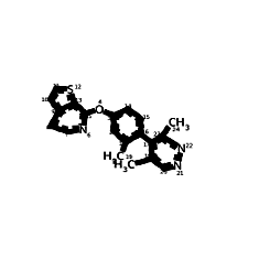 Cc1cc(Oc2nccc3ccsc23)ccc1-c1c(C)cnnc1C